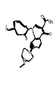 CN1CCN(c2ccc3c(=O)c(C(=O)O)cn(-c4ccc(F)cc4F)c3c2)CC1